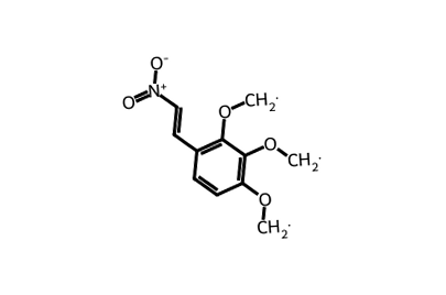 [CH2]Oc1ccc(/C=C/[N+](=O)[O-])c(O[CH2])c1O[CH2]